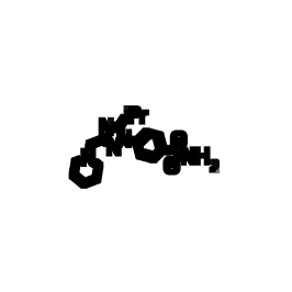 CC(C)c1nc(CN2CCCCC2)nn1-c1ccc(S(N)(=O)=O)cc1